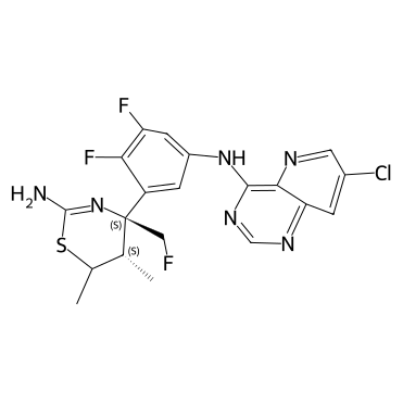 CC1SC(N)=N[C@](CF)(c2cc(Nc3ncnc4cc(Cl)cnc34)cc(F)c2F)[C@@H]1C